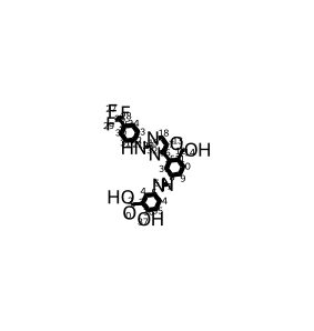 O=C(O)c1cc(/N=N/c2ccc(C(=O)O)c(-c3ccnc(Nc4ccc(C(F)(F)F)cc4)n3)c2)ccc1O